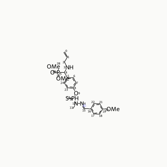 C=CCNC(c1ccc(O[PH](=S)N(C)/N=C/c2ccc(OC)cc2)cc1)P(=O)(OC)OC